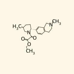 CCOC(=O)C(=O)N1C[C@@H](C)CC[C@@H]1c1ccc2c(c1)CN(C)CC2